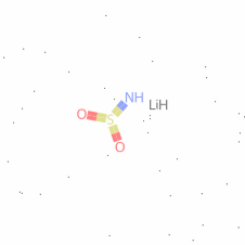 N=S(=O)=O.[LiH]